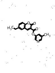 CCc1ccc2oc(=O)c(C(=O)Oc3cncc(C)c3)cc2c1